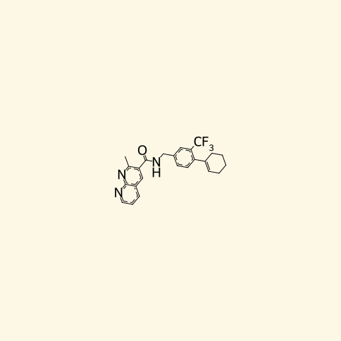 Cc1nc2ncccc2cc1C(=O)NCc1ccc(C2=CCCCC2)c(C(F)(F)F)c1